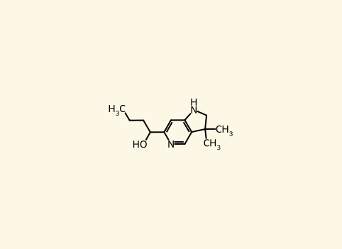 CCCC(O)c1cc2c(cn1)C(C)(C)CN2